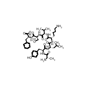 CC(C)C[C@H](NC(=O)[C@H](Cc1ccc(O)cc1)NC(=O)[C@H](C)N)C(=O)N[C@@H](CCCCN)C(=O)N[C@H](C(=O)N[C@@H](CO)C(=O)N[C@@H](Cc1ccccc1)C(=O)O)C(C)C